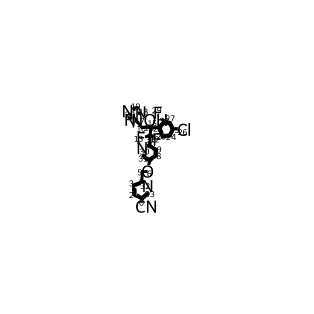 N#Cc1ccc(COc2ccc(C(F)(F)C(O)(Cn3ncnn3)c3ccc(Cl)cc3F)nc2)nc1